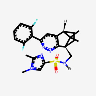 CCN(C[C@@]12CC[C@@H](c3cc(-c4c(F)cccc4F)nnc31)C2(C)C)S(=O)(=O)c1cn(C)c(C)n1